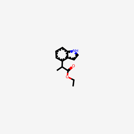 CCOC(=O)C(C)c1cccc2[nH]ccc12